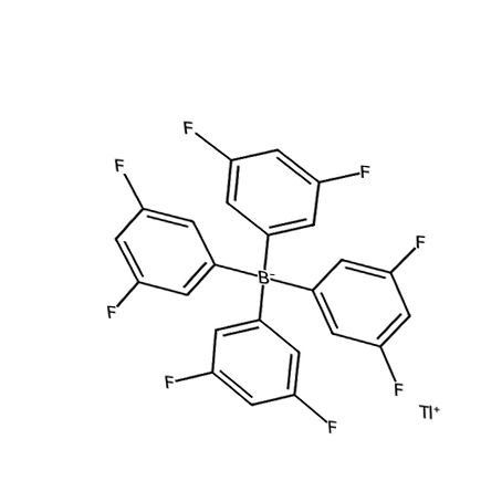 Fc1cc(F)cc([B-](c2cc(F)cc(F)c2)(c2cc(F)cc(F)c2)c2cc(F)cc(F)c2)c1.[Tl+]